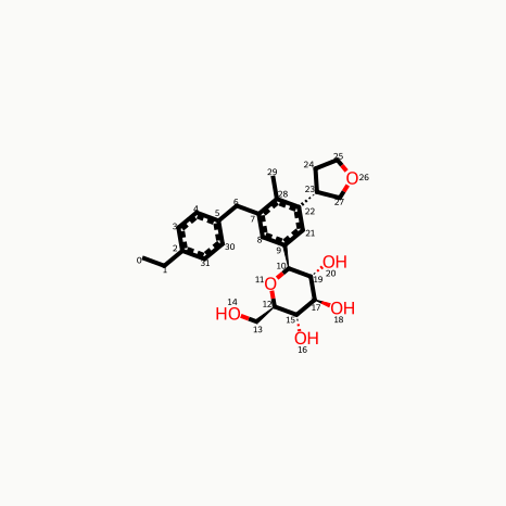 CCc1ccc(Cc2cc([C@@H]3O[C@H](CO)[C@@H](O)[C@H](O)[C@H]3O)cc([C@@H]3CCOC3)c2C)cc1